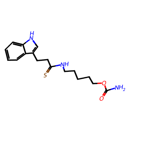 NC(=O)OCCCCCNC(=S)CCc1c[nH]c2ccccc12